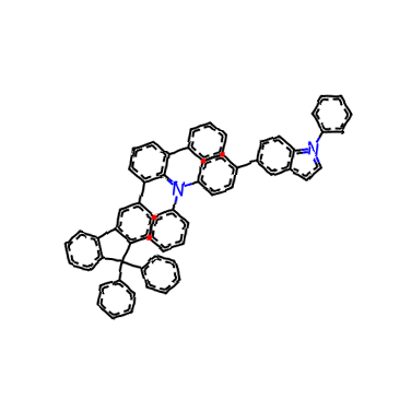 c1ccc(-c2cccc(-c3ccc4c(c3)-c3ccccc3C4(c3ccccc3)c3ccccc3)c2N(c2ccccc2)c2ccc(-c3ccc4c(ccn4-c4ccccc4)c3)cc2)cc1